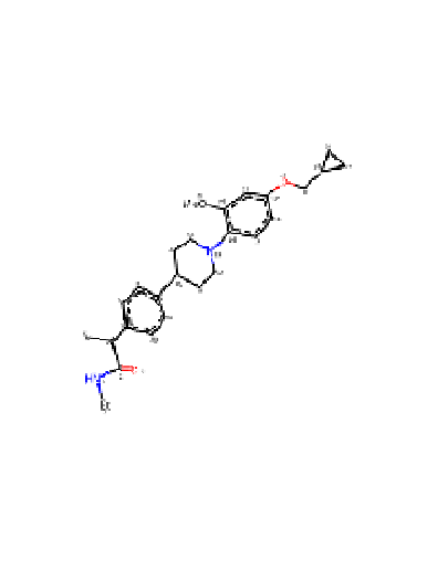 CCNC(=O)C(C)c1ccc(C2CCN(c3ccc(OCC4CC4)cc3OC)CC2)cc1